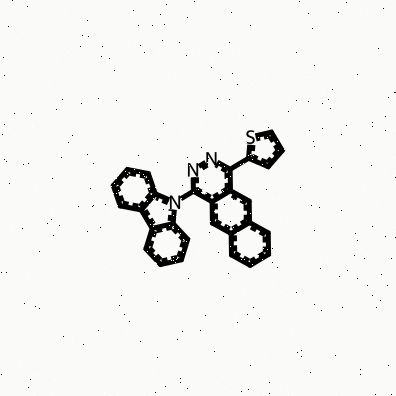 c1csc(-c2nnc(-n3c4ccccc4c4ccccc43)c3cc4ccccc4cc23)c1